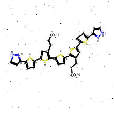 O=C(O)CCc1cc(-c2ccc(-c3cc[nH]n3)s2)sc1-c1ccc(-c2sc(-c3ccc(-c4cc[nH]n4)s3)cc2CCC(=O)O)s1